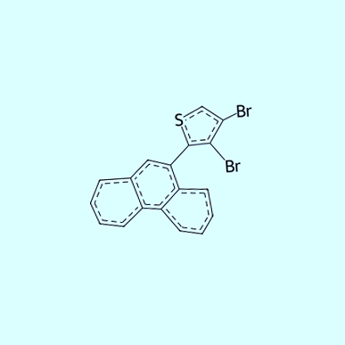 Brc1csc(-c2cc3ccccc3c3ccccc23)c1Br